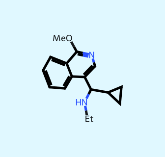 CCNC(c1cnc(OC)c2ccccc12)C1CC1